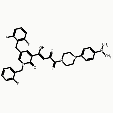 CN(C)c1ccc(N2CCN(C(=O)C(=O)C=C(O)c3cc(Cc4c(F)cccc4F)cn(Cc4ccccc4F)c3=O)CC2)cc1